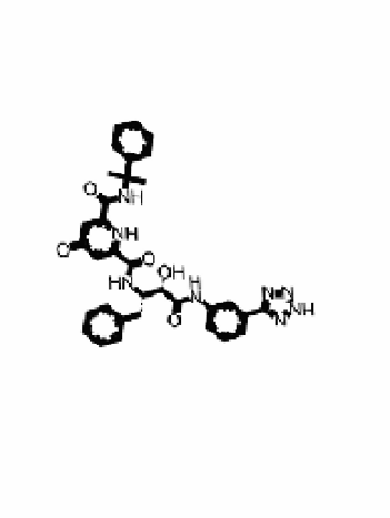 CC(C)(NC(=O)c1cc(=O)cc(C(=O)N[C@@H](Cc2ccccc2)[C@H](O)C(=O)Nc2cccc(-c3nn[nH]n3)c2)[nH]1)c1ccccc1